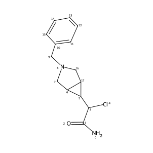 NC(=O)C(Cl)C1C2CN(Cc3ccccc3)CC21